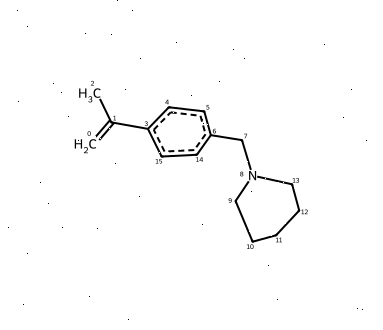 C=C(C)c1ccc(CN2CCCCC2)cc1